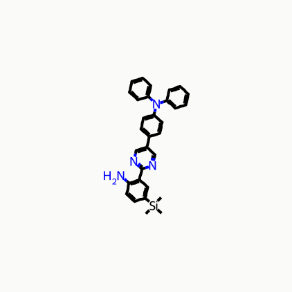 C[Si](C)(C)c1ccc(N)c(-c2ncc(-c3ccc(N(c4ccccc4)c4ccccc4)cc3)cn2)c1